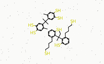 CCC(C)(c1c(S)cccc1CCCCS)c1c(S)cccc1CCCCS.Cc1cc(S)c(S)cc1C(C)(C)c1cc(S)c(S)cc1C